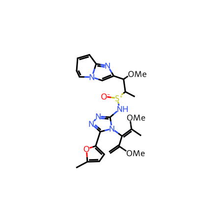 C=C(OC)/C(=C(\C)OC)n1c(N[S+]([O-])C(C)C(OC)c2cn3ccccc3n2)nnc1-c1ccc(C)o1